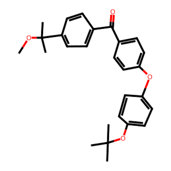 COC(C)(C)c1ccc(C(=O)c2ccc(Oc3ccc(OC(C)(C)C)cc3)cc2)cc1